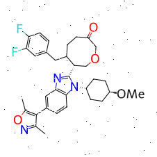 CO[C@H]1CC[C@H](n2c([C@H]3COCC(=O)CCC3Cc3ccc(F)c(F)c3)nc3cc(-c4c(C)noc4C)ccc32)CC1